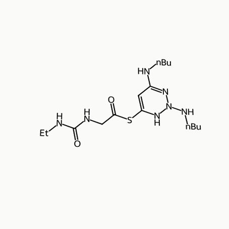 CCCCNC1=NN(NCCCC)NC(SC(=O)CNC(=O)NCC)=C1